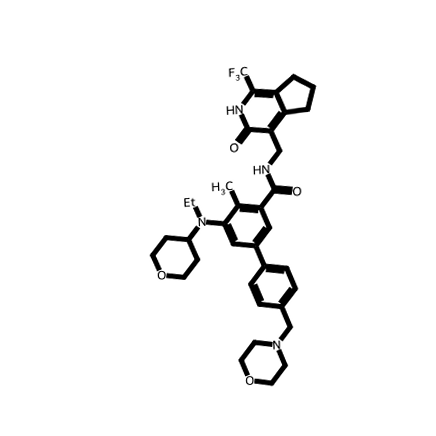 CCN(c1cc(-c2ccc(CN3CCOCC3)cc2)cc(C(=O)NCc2c3c(c(C(F)(F)F)[nH]c2=O)CCC3)c1C)C1CCOCC1